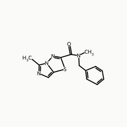 Cc1ncc2sc(C(=O)N(C)Cc3ccccc3)nn12